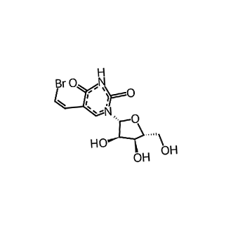 O=c1[nH]c(=O)n([C@@H]2O[C@H](CO)[C@@H](O)[C@H]2O)cc1/C=C\Br